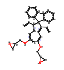 C=C/C(=C\C=C(/C)OCC1CO1)C1(/C(C=C)=C/C=C(\C)OCC2CO2)c2ccccc2-c2ccccc21